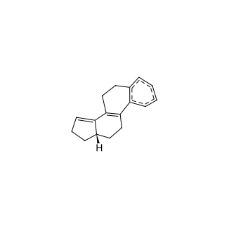 C1=C2C3=C(CC[C@@H]2CC1)c1ccccc1CC3